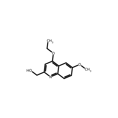 CCOc1cc(CO)nc2ccc(OC)cc12